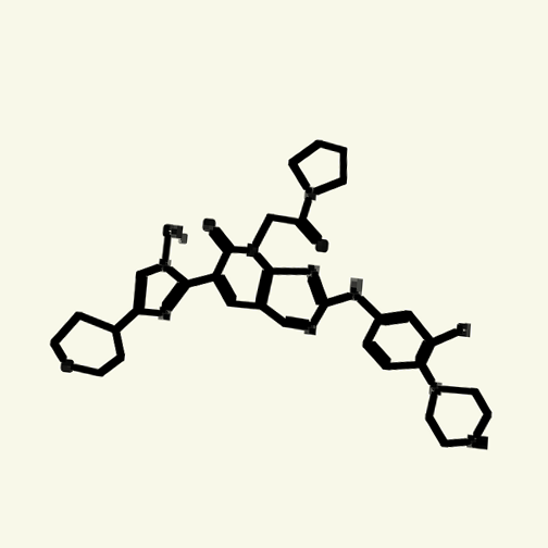 Cn1cc(C2CCOCC2)nc1-c1cc2cnc(Nc3ccc(N4CCNCC4)c(Cl)c3)nc2n(CC(=O)N2CCCC2)c1=O